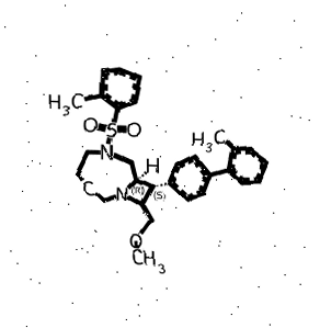 COCC1[C@@H](c2ccc(-c3ccccc3C)cc2)[C@@H]2CN(S(=O)(=O)c3ccccc3C)CCCCN12